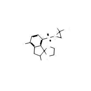 CC1(C)CN1S(=O)(=O)c1ccc(F)c2c1C1(OCCO1)C(F)C2